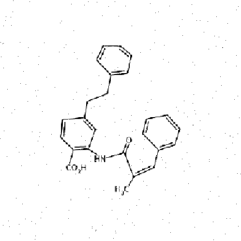 CC(=Cc1ccccc1)C(=O)Nc1cc(CCc2ccccc2)ccc1C(=O)O